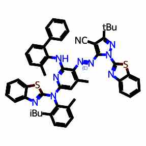 CCC(C)c1cccc(C)c1N(c1cc(C)c(/N=N/c2c(C#N)c(C(C)(C)C)nn2-c2nc3ccccc3s2)c(Nc2c(C)cccc2-c2ccccc2)n1)c1nc2ccccc2s1